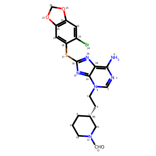 Nc1ncn(CC[C@H]2CCCN(C=O)C2)c2nc(Sc3cc4c(cc3Br)OCO4)nc1-2